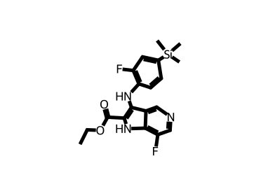 CCOC(=O)c1[nH]c2c(F)cncc2c1Nc1ccc([Si](C)(C)C)cc1F